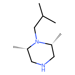 CC(C)CN1[C@H](C)CNC[C@@H]1C